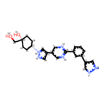 Cn1cc(-c2cccc(-c3ncc(-c4cnn([C@H]5CC[C@](O)(CO)CC5)c4)cn3)c2)cn1